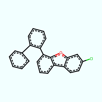 Clc1ccc2c(c1)oc1c(-c3ccccc3-c3ccccc3)cccc12